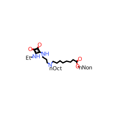 CCCCCCCCCOC(=O)CCCCCCCN(CCCCCCCC)CCCNc1c(NCC)c(=O)c1=O